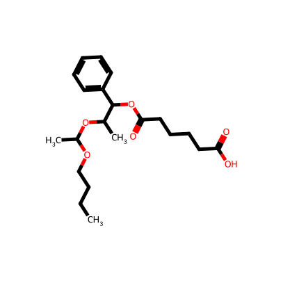 CCCCOC(C)OC(C)C(OC(=O)CCCCC(=O)O)c1ccccc1